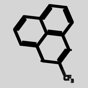 FC(F)(F)C1=[C]c2cccc3cccc(c23)[CH]1